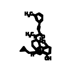 Cc1cccc(C#CC(=O)N(C)[C@H]2CC[C@H]3[C@H]4Cc5c(O)ccc6c5[C@@]3(CCN4CC3CC3)[C@H]2O6)c1